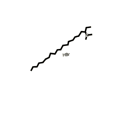 Br.CCCCCCCCCCCCCCCCCCC(CC)N(C)C